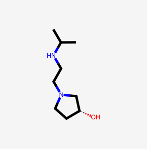 CC(C)NCCN1CC[C@@H](O)C1